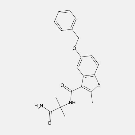 Cc1sc2ccc(OCc3ccccc3)cc2c1C(=O)NC(C)(C)C(N)=O